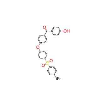 CC(C)c1ccc(S(=O)(=O)c2ccc(Oc3ccc(C(=O)c4ccc(O)cc4)cc3)cc2)cc1